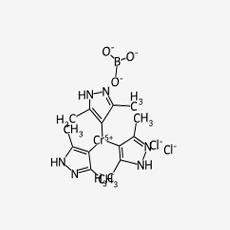 Cc1n[nH]c(C)[c]1[Cr+5]([c]1c(C)n[nH]c1C)[c]1c(C)n[nH]c1C.[Cl-].[Cl-].[O-]B([O-])[O-]